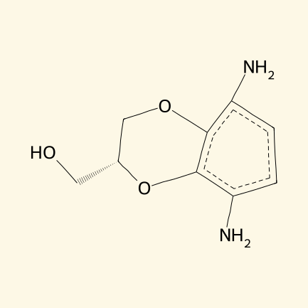 Nc1ccc(N)c2c1OC[C@@H](CO)O2